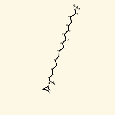 C1CO1.CCCCCCCCCCCCCCCCCC